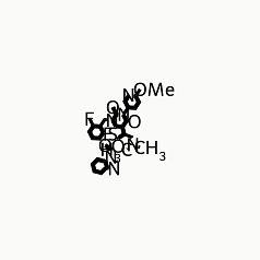 COc1ccc(-n2c(=O)c3c(CN(C)C)c(OC(=O)n4cnc5ccccc54)sc3n(Cc3c(F)cccc3F)c2=O)cn1